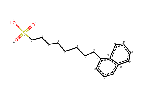 O=S(=O)(O)CCCCCCCCc1cccc2ccccc12